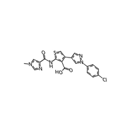 Cn1cnc(C(=O)Nc2scc(-c3cnn(-c4ccc(Cl)cc4)c3)c2C(=O)O)c1